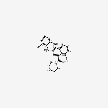 Cc1c(F)cccc1Nc1ncc(C(=O)N2CCOCC2)c2c(Cl)cccc12